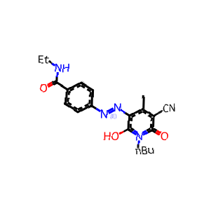 CCCCn1c(O)c(/N=N/c2ccc(C(=O)NCC)cc2)c(C)c(C#N)c1=O